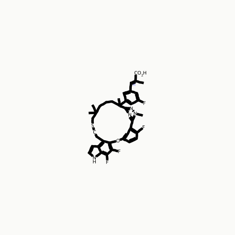 C/C(=C\c1cc(F)cc(C2(C)CCCC(C)(C)CSCCc3c(c(F)c(F)c4[nH]ccc34)Oc3ccc(F)c(c3)-c3nc2nn3C)c1)C(=O)O